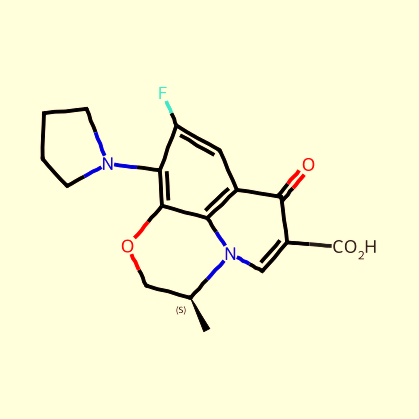 C[C@H]1COc2c(N3CCCC3)c(F)cc3c(=O)c(C(=O)O)cn1c23